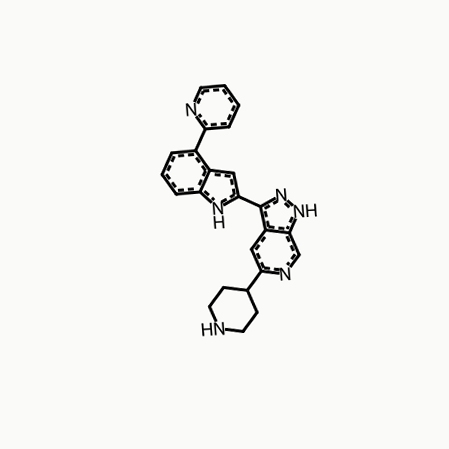 c1ccc(-c2cccc3[nH]c(-c4n[nH]c5cnc(C6CCNCC6)cc45)cc23)nc1